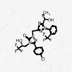 COC(O)c1nc(Cn2nc(-c3ccc(Cl)cc3)n(C[C@H](O)C(F)(F)F)c2=O)nn1-c1ccccc1C(F)(F)F